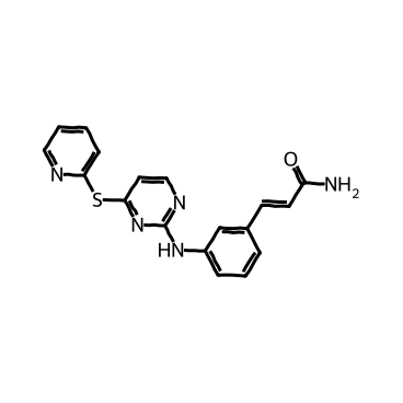 NC(=O)C=Cc1cccc(Nc2nccc(Sc3ccccn3)n2)c1